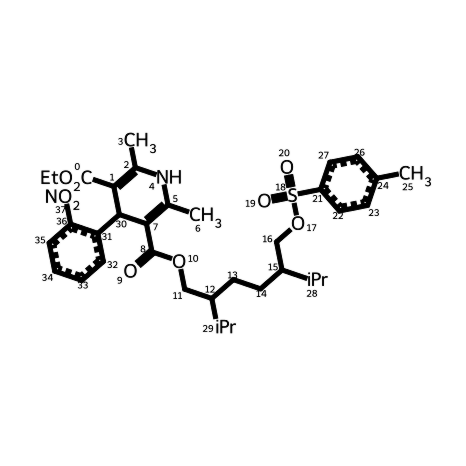 CCOC(=O)C1=C(C)NC(C)=C(C(=O)OCC(CCC(COS(=O)(=O)c2ccc(C)cc2)C(C)C)C(C)C)C1c1ccccc1[N+](=O)[O-]